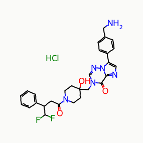 Cl.NCc1ccc(-c2cnc3c(=O)n(CC4(O)CCN(C(=O)CC(c5ccccc5)C(F)F)CC4)cnn23)cc1